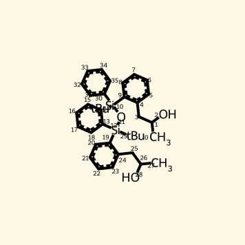 CC(O)Cc1ccccc1[Si](O[Si](c1ccccc1)(c1ccccc1CC(C)O)C(C)(C)C)(c1ccccc1)C(C)(C)C